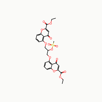 CCOC(=O)c1cc(=O)c2c(OCC(COc3cccc4oc(C(=O)OCC)cc(=O)c34)OS(C)(=O)=O)cccc2o1